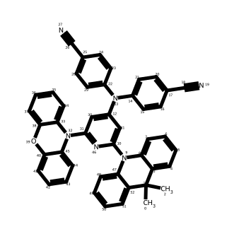 CC1(C)c2ccccc2N(c2cc(N(c3ccc(C#N)cc3)c3ccc(C#N)cc3)cc(N3c4ccccc4Oc4ccccc43)n2)c2ccccc21